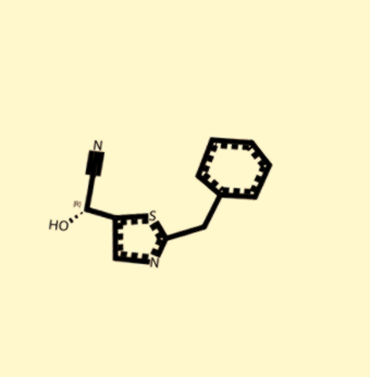 N#C[C@@H](O)c1cnc(Cc2ccccc2)s1